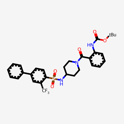 CC(C)(C)OC(=O)Nc1ccccc1C(=O)N1CCC(NS(=O)(=O)c2ccc(-c3ccccc3)cc2C(F)(F)F)CC1